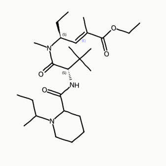 CCOC(=O)/C(C)=C/[C@H](CC)N(C)C(=O)[C@@H](NC(=O)C1CCCCN1C(C)CC)C(C)(C)C